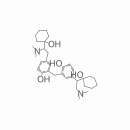 CN(C)CC(c1ccc(O)c(Cc2cc(CC(N(C)C)C3(O)CCCCC3)ccc2O)c1)C1(O)CCCCC1